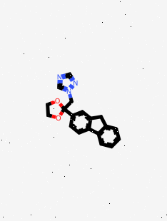 c1ccc2c(c1)Cc1cc(C3(Cn4cncn4)OCCO3)ccc1-2